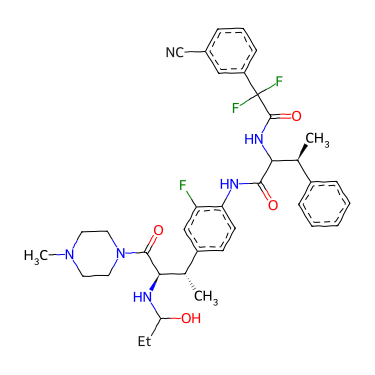 CCC(O)N[C@@H](C(=O)N1CCN(C)CC1)[C@@H](C)c1ccc(NC(=O)C(NC(=O)C(F)(F)c2cccc(C#N)c2)[C@@H](C)c2ccccc2)c(F)c1